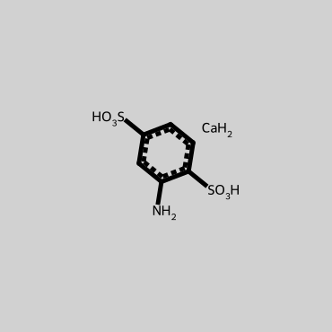 Nc1cc(S(=O)(=O)O)ccc1S(=O)(=O)O.[CaH2]